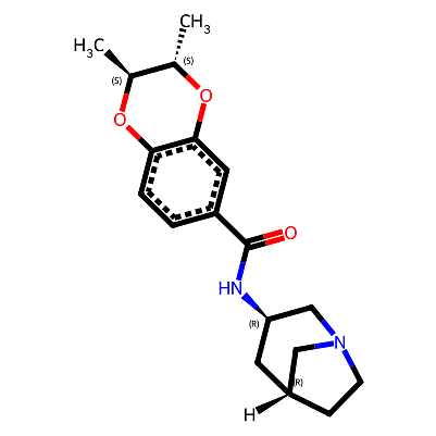 C[C@@H]1Oc2ccc(C(=O)N[C@@H]3C[C@H]4CCN(C4)C3)cc2O[C@H]1C